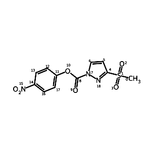 CS(=O)(=O)c1ccn(C(=O)Oc2ccc([N+](=O)[O-])cc2)n1